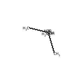 CCCCCCCCCCCCCCCCC(O)C(N)(CCCCCCCCCCCCCCCC)P(=O)(O)O